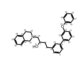 OC(CCc1cccc(-c2cccc(Oc3ccccc3)c2)c1)CN1CCc2ccccc2C1